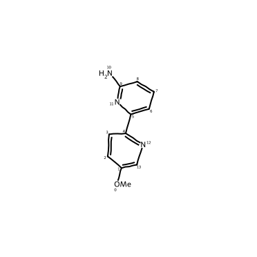 COc1ccc(-c2cccc(N)n2)nc1